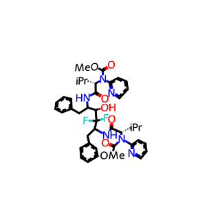 COC(=O)N(c1ccccn1)[C@H](C(=O)NC(Cc1ccccc1)C(O)C(F)(F)C(Cc1ccccc1)NC(=O)[C@H](C(C)C)N(C(=O)OC)c1ccccn1)C(C)C